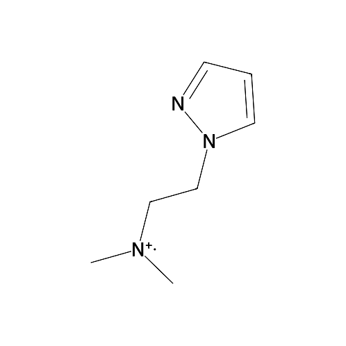 C[N+](C)CCn1cccn1